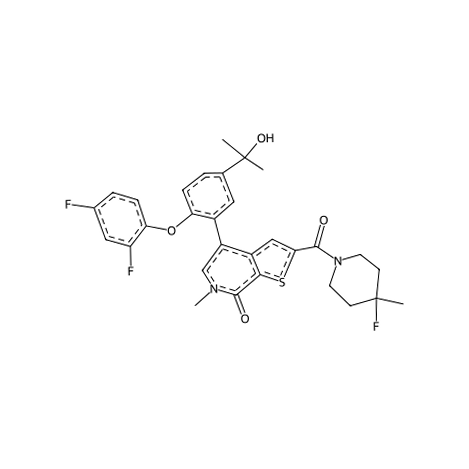 Cn1cc(-c2cc(C(C)(C)O)ccc2Oc2ccc(F)cc2F)c2cc(C(=O)N3CCC(C)(F)CC3)sc2c1=O